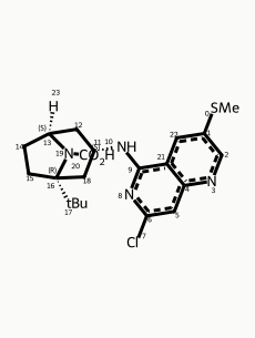 CSc1cnc2cc(Cl)nc(N[C@H]3C[C@@H]4CC[C@](C(C)(C)C)(C3)N4C(=O)O)c2c1